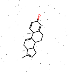 CC1=CCC2C3CCC4=CC(=O)C=C[C@]4(C)C3=CC[C@]12C